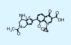 COc1c(-c2cc3c(s2)C(N)CN(C(C)=O)C3)ccc2c(=O)c(C(=O)O)cn(C3CC3)c12